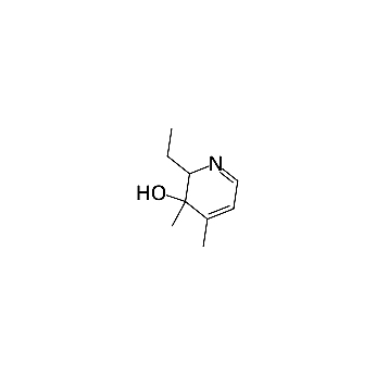 CCC1N=CC=C(C)C1(C)O